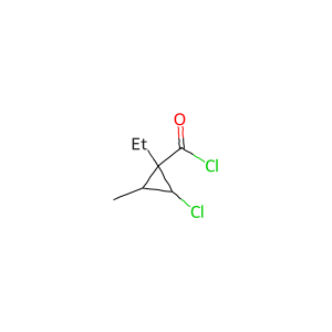 CCC1(C(=O)Cl)C(C)C1Cl